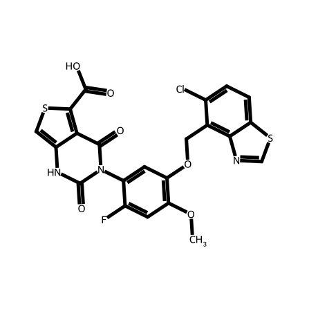 COc1cc(F)c(-n2c(=O)[nH]c3csc(C(=O)O)c3c2=O)cc1OCc1c(Cl)ccc2scnc12